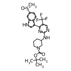 C[S+]([O-])c1ccc2c(-c3nc(NC4CCCN(C(=O)OC(C)(C)C)C4)ncc3C(F)(F)F)c[nH]c2c1